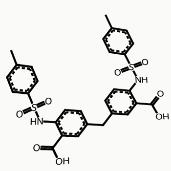 Cc1ccc(S(=O)(=O)Nc2ccc(Cc3ccc(NS(=O)(=O)c4ccc(C)cc4)c(C(=O)O)c3)cc2C(=O)O)cc1